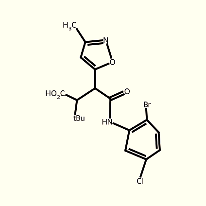 Cc1cc(C(C(=O)Nc2cc(Cl)ccc2Br)C(C(=O)O)C(C)(C)C)on1